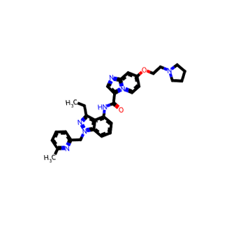 CCc1nn(Cc2cccc(C)n2)c2cccc(NC(=O)c3cnc4cc(OCCN5CCCC5)ccn34)c12